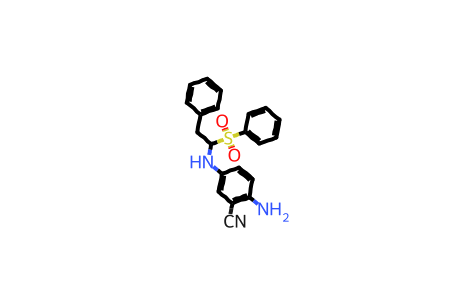 N#Cc1cc(NC(Cc2ccccc2)S(=O)(=O)c2ccccc2)ccc1N